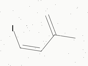 C=C(C)/C=C\I